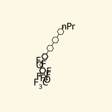 CCCC1CCC(C2CCC(C3CCC(c4ccc(C(F)(F)Oc5cc(F)c(C(F)(F)OC(F)(F)F)c(F)c5)cc4)CC3)CC2)CC1